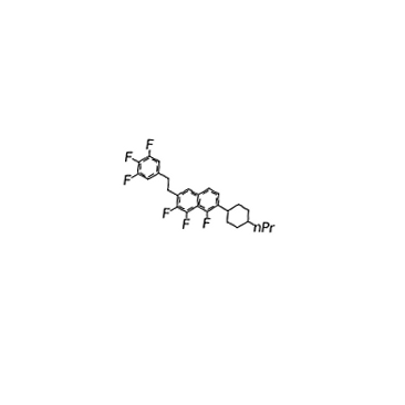 CCCC1CCC(c2ccc3cc(CCc4cc(F)c(F)c(F)c4)c(F)c(F)c3c2F)CC1